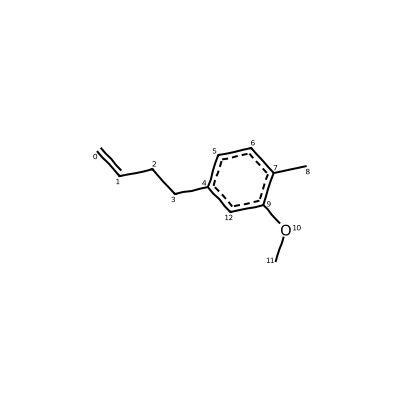 C=CCCc1ccc(C)c(OC)c1